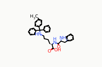 Cc1ccc(C(NCCCC[C@H](NC(=O)[C@@H](N)Cc2ccccc2)C(=O)O)(c2ccccc2)c2ccccc2)cc1